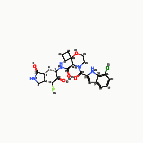 O=C1NCC[C@H]1C[C@H](NC(=O)[C@@H]1N(C(=O)c2cc3cccc(Cl)c3[nH]2)CCOC12CCC2)C(=O)CF